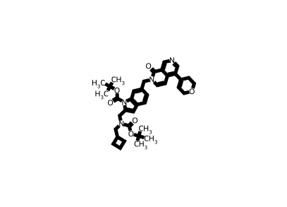 CC(C)(C)OC(=O)N(Cc1cc2ccc(Cn3ccc4c(C5=CCOCC5)cncc4c3=O)cc2n1C(=O)OC(C)(C)C)CC1CCC1